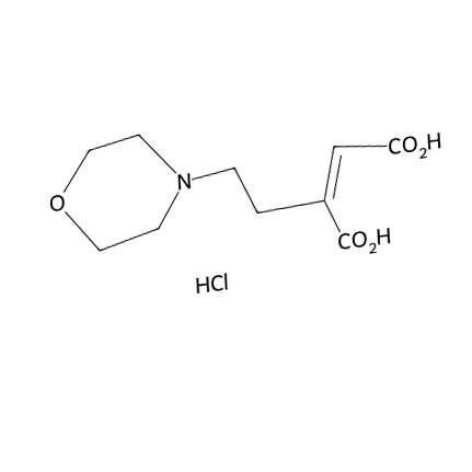 Cl.O=C(O)C=C(CCN1CCOCC1)C(=O)O